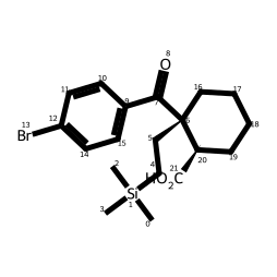 C[Si](C)(C)CC[C@@]1(C(=O)c2ccc(Br)cc2)CCCC[C@H]1C(=O)O